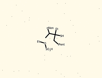 CCCCCCCCCC(C)C(S)(CC)CC(C)CCC.CCOS(=O)(=O)O